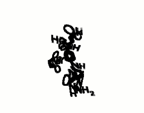 Nc1nc2ncc(CNc3ccc(C(=O)NC(CCC(=O)O)C(=O)O)cc3)nc2c(=O)[nH]1.O=C1CCC(=O)N1Br